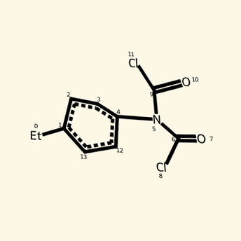 CCc1ccc(N(C(=O)Cl)C(=O)Cl)cc1